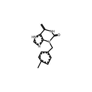 C=C1NC(=O)N(Cc2ccc(C)cc2)c2nc[nH]c21